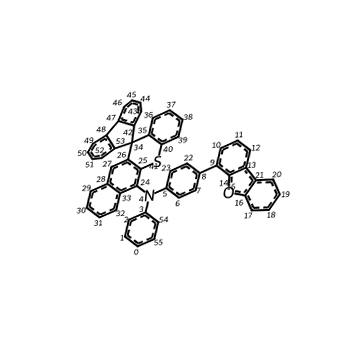 c1ccc(N(c2ccc(-c3cccc4c3oc3ccccc34)cc2)c2c3c(cc4ccccc24)C2(c4ccccc4S3)c3ccccc3-c3ccccc32)cc1